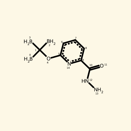 BC(B)(B)Oc1cccc(C(=O)NN)n1